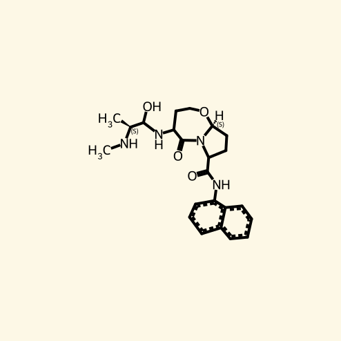 CN[C@@H](C)C(O)NC1CCO[C@H]2CCC(C(=O)Nc3cccc4ccccc34)N2C1=O